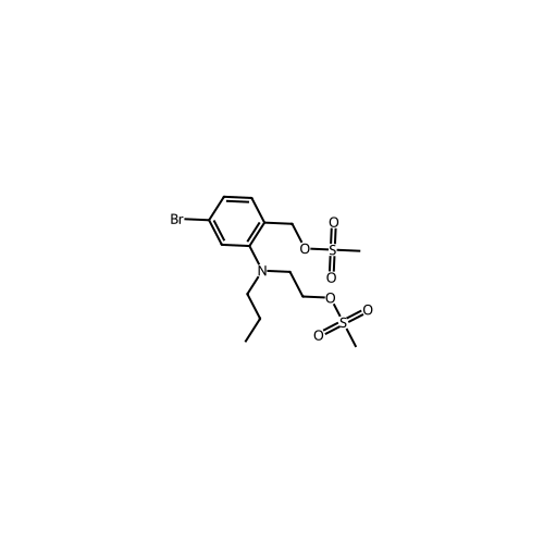 CCCN(CCOS(C)(=O)=O)c1cc(Br)ccc1COS(C)(=O)=O